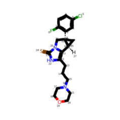 Fc1ccc(Cl)cc1[C@]12C[C@H]1c1c(CCCN3CCOCC3)[nH]c(=S)n1C2